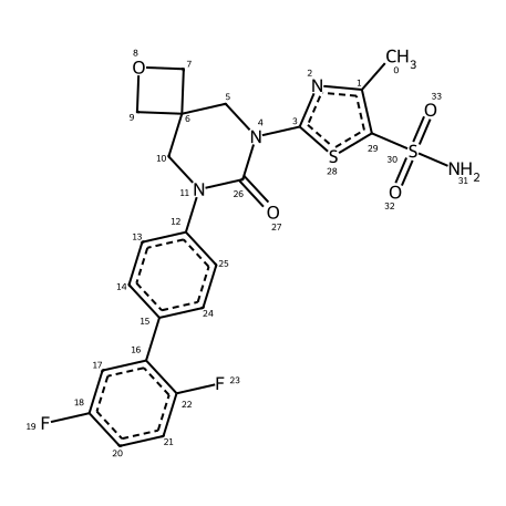 Cc1nc(N2CC3(COC3)CN(c3ccc(-c4cc(F)ccc4F)cc3)C2=O)sc1S(N)(=O)=O